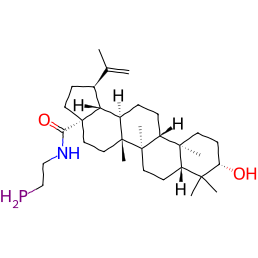 C=C(C)[C@@H]1CC[C@]2(C(=O)NCCP)CC[C@]3(C)[C@H](CC[C@@H]4[C@@]5(C)CC[C@H](O)C(C)(C)[C@@H]5CC[C@]43C)[C@@H]12